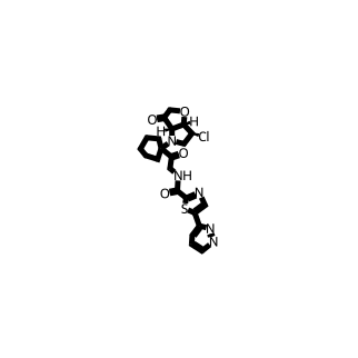 O=C(NCC(=O)C1(N2C[C@H](Cl)[C@H]3OCC(=O)[C@H]32)CCCCC1)c1ncc(-c2cccnn2)s1